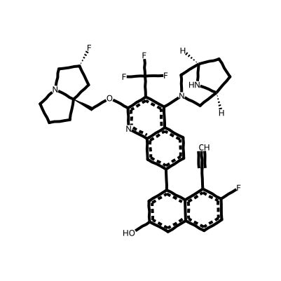 C#Cc1c(F)ccc2cc(O)cc(-c3ccc4c(N5C[C@H]6CC[C@@H](C5)N6)c(C(F)(F)F)c(OC[C@@]56CCCN5C[C@H](F)C6)nc4c3)c12